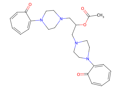 CC(=O)OC(CN1CCN(c2cccccc2=O)CC1)CN1CCN(c2cccccc2=O)CC1